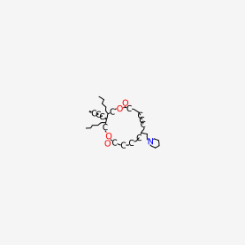 C=C=C=C=C1C(CCCCC)CCOC(=O)CCCCCCCC(CCN2CCCCC2)CCCCCCCC(=O)OCCC1CCCCC